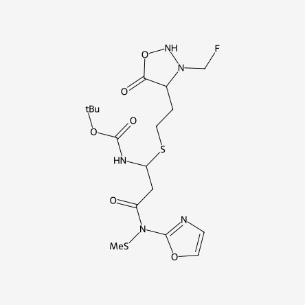 CSN(C(=O)CC(NC(=O)OC(C)(C)C)SCCC1C(=O)ONN1CF)c1ncco1